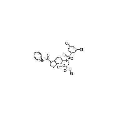 CCOP(=O)(CN(c1ccc2c(c1)CCN2C(=O)Nc1ccccc1)S(=O)(=O)c1cc(Cl)cc(Cl)c1)OCC